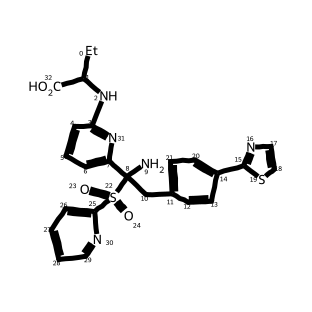 CCC(Nc1cccc(C(N)(Cc2ccc(-c3nccs3)cc2)S(=O)(=O)c2ccccn2)n1)C(=O)O